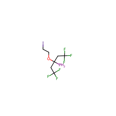 FC(F)(F)CC(P)(CC(F)(F)F)OCCI